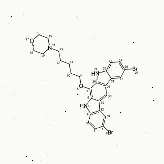 Brc1ccc2[nH]c3c(OCCCCCN4CCOCC4)c4[nH]c5ccc(Br)cc5c4cc3c2c1